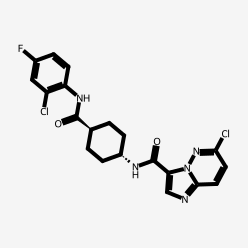 O=C(N[C@H]1CC[C@H](C(=O)Nc2ccc(F)cc2Cl)CC1)c1cnc2ccc(Cl)nn12